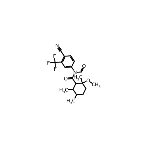 COC1(C)CCC(C)C(C)C1C(=O)N(C=O)c1ccc(C#N)c(C(F)(F)F)c1